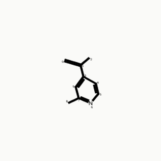 C=C(C)c1ccnc(C)c1